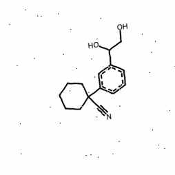 N#CC1(c2cccc(C(O)CO)c2)CCCCC1